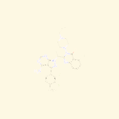 COc1ccc(-c2nn(C(C)c3nc4cccc(Cl)c4c(=O)n3N3CCN(CC(F)(F)F)CC3)c3ncnc(N)c23)c(F)c1F